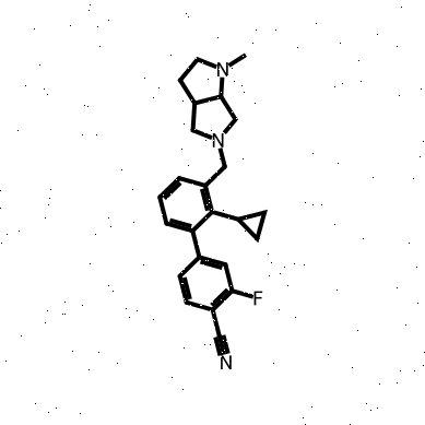 CN1CCC2CN(Cc3cccc(-c4ccc(C#N)c(F)c4)c3C3CC3)CC21